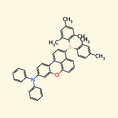 Cc1ccc(B(c2c(C)cc(C)cc2C)c2ccc3c4c(cccc24)Oc2cc(N(c4ccccc4)c4ccccc4)ccc2-3)c(C)c1